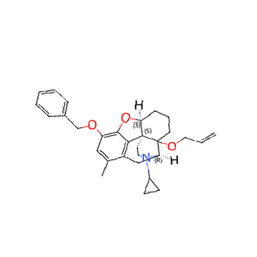 C=CCOC12CCC[C@@H]3Oc4c(OCc5ccccc5)cc(C)c5c4[C@@]31CCN(C1CC1)[C@@H]2C5